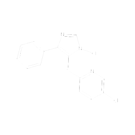 Cn1cnc(-c2ccccc2)c1Sc1ccc(Cl)cn1